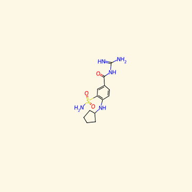 N=C(N)NC(=O)c1ccc(NC2CCCC2)c(S(N)(=O)=O)c1